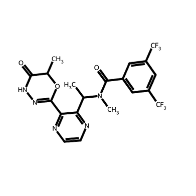 CC1OC(c2nccnc2C(C)N(C)C(=O)c2cc(C(F)(F)F)cc(C(F)(F)F)c2)=NNC1=O